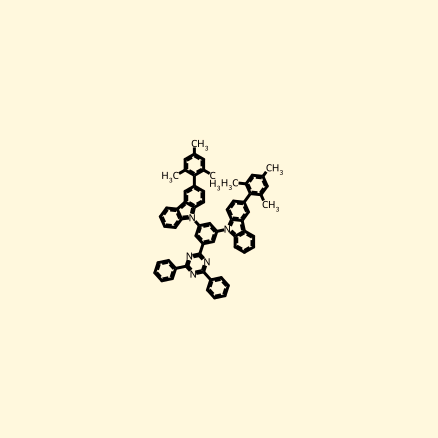 Cc1cc(C)c(-c2ccc3c(c2)c2ccccc2n3-c2cc(-c3nc(-c4ccccc4)nc(-c4ccccc4)n3)cc(-n3c4ccccc4c4cc(-c5c(C)cc(C)cc5C)ccc43)c2)c(C)c1